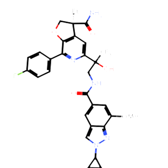 CC[C@@]1(C(N)=O)COc2c1cc(C(O)(CNC(=O)c1cc(OC)c3nn(C4CC4)cc3c1)C(F)(F)F)nc2-c1ccc(F)cc1